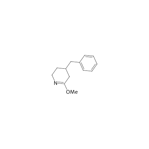 COC1=NCCC(Cc2ccccc2)C1